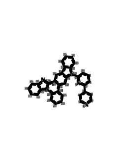 c1cc(-c2ccncc2)nc(-n2c3ccccc3c3cc4c(cc32)c2ccccc2n2c3ccccc3nc42)c1